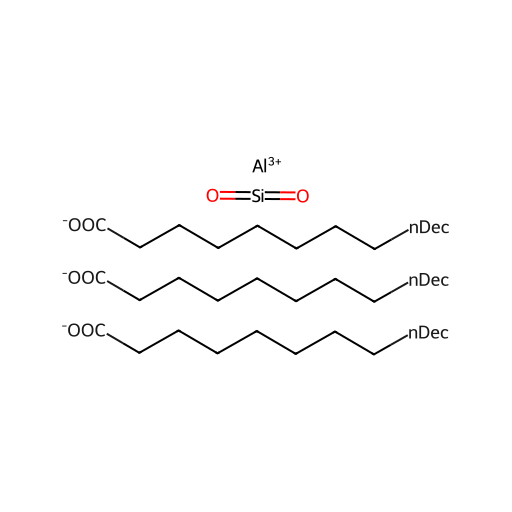 CCCCCCCCCCCCCCCCCC(=O)[O-].CCCCCCCCCCCCCCCCCC(=O)[O-].CCCCCCCCCCCCCCCCCC(=O)[O-].O=[Si]=O.[Al+3]